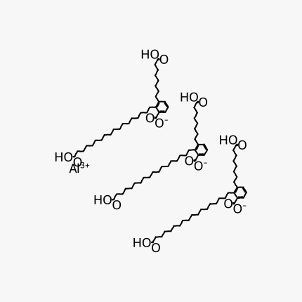 O=C(O)CCCCCCCCCCCCCCCCCc1c(CCCCCCCC(=O)O)cccc1C(=O)[O-].O=C(O)CCCCCCCCCCCCCCCCCc1c(CCCCCCCC(=O)O)cccc1C(=O)[O-].O=C(O)CCCCCCCCCCCCCCCCCc1c(CCCCCCCC(=O)O)cccc1C(=O)[O-].[Al+3]